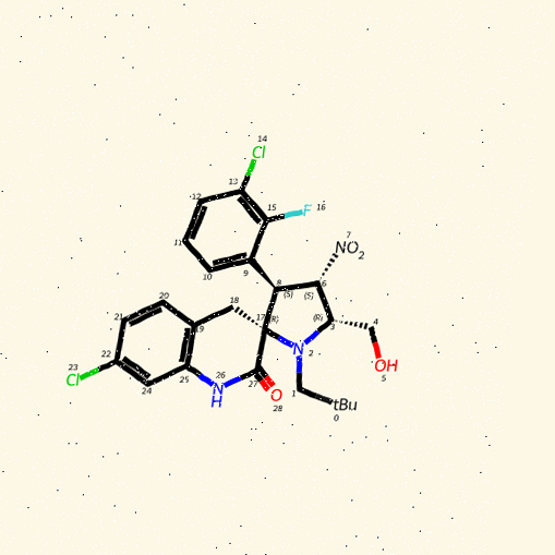 CC(C)(C)CN1[C@@H](CO)[C@@H]([N+](=O)[O-])[C@H](c2cccc(Cl)c2F)[C@@]12Cc1ccc(Cl)cc1NC2=O